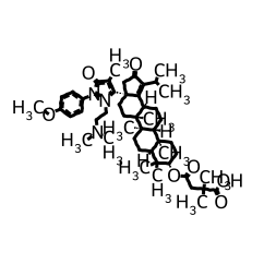 COc1ccc(-n2c(=O)c(C)c([C@@]34CC[C@]5(C)[C@H](CC[C@@H]6[C@@]7(C)CC[C@H](OC(=O)CC(C)(C)C(=O)O)C(C)(C)[C@@H]7CC[C@]65C)C3=C(C(C)C)C(=O)C4)n2CCN(C)C)cc1